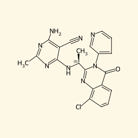 Cc1nc(N)c(C#N)c(N[C@@H](C)c2nc3c(Cl)cccc3c(=O)n2-c2cccnc2)n1